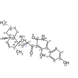 C[C@@H]1CC[C@@H]2[C@H](C=C[C@@H](C)[C@@]2(C)/C=C/C(=O)c2c(O)c(-c3ccc(O)cc3)c[nH]c2=O)C1